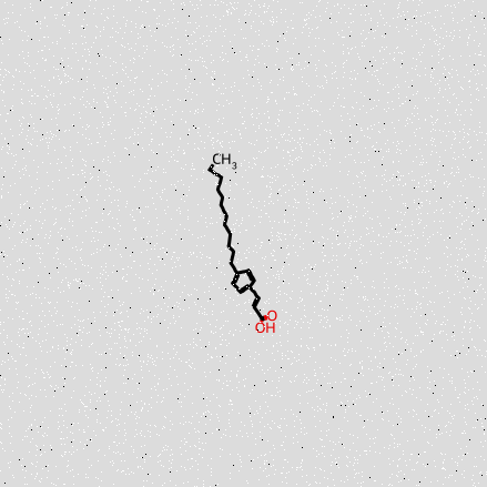 CCCCCCCCCCCCc1ccc(C=CC(=O)O)cc1